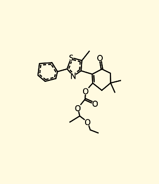 CCOC(C)OC(=O)OC1=C(c2nc(-c3ccccc3)sc2C)C(=O)CC(C)(C)C1